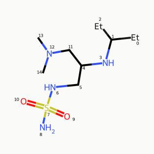 CCC(CC)NC(CNS(N)(=O)=O)CN(C)C